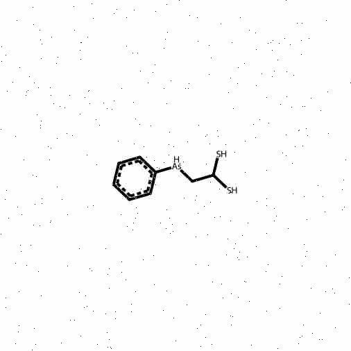 SC(S)C[AsH]c1ccccc1